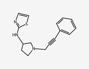 C(#Cc1ccccc1)CN1CCC(Nc2nccs2)C1